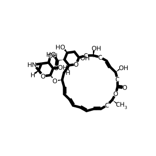 C[C@@H]1C/C=C/C=C/C=C/C=C/[C@H](O[C@@H]2O[C@@H]3NC3C(O)C2O)C[C@@H]2O[C@](O)(C[C@@H](O)C/C=C/[C@H](O)CC(=O)O1)C[C@H](O)[C@H]2C(=O)O